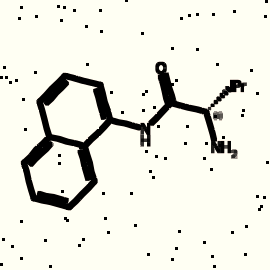 CC(C)[C@H](N)C(=O)Nc1cccc2ccccc12